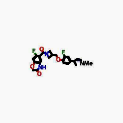 CN/C=C\C(C)c1ccc(OCC2CN(C(=O)c3cc4c(cc3F)OCC(=O)N4)C2)c(F)c1